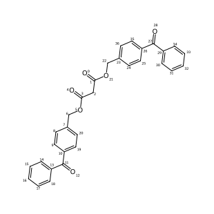 O=C(CC(=O)OCc1ccc(C(=O)c2ccccc2)cc1)OCc1ccc(C(=O)c2ccccc2)cc1